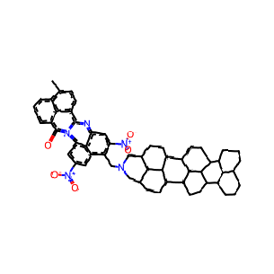 Cc1ccc2c3c1cccc3c(=O)n1c3cc([N+](=O)[O-])cc4c(CN5CC6CCC7C8CCC9C%10CCCC%11CCCC(C%12CCC(C%13CCC(C5)C6C7%13)C8C9%12)C%11%10)c([N+](=O)[O-])cc(nc21)c43